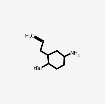 C=CCC1CC(N)CCC1C(C)(C)C